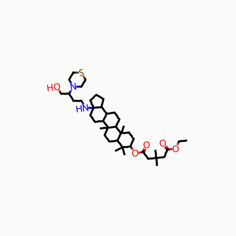 CCOC(=O)CC(C)(C)CC(=O)OC1CCC2(C)C(CCC3(C)C4CCC5(NCCC(CO)N6CCSCC6)CCCC5C4CCC32)C1(C)C